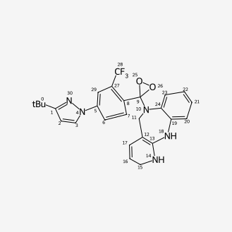 CC(C)(C)c1ccn(-c2ccc(C3(N4CC5=C(NCC=C5)Nc5ccccc54)OO3)c(C(F)(F)F)c2)n1